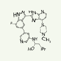 CC(C)CC(O)Nc1cncc(-c2cc(F)c3[nH]nc(-c4nc5c(N6CCN(C)CC6)ccnc5[nH]4)c3c2)c1